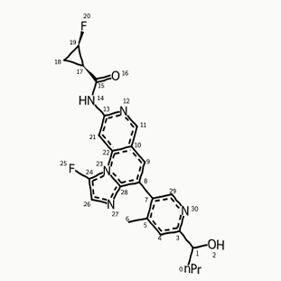 CCCC(O)c1cc(C)c(-c2cc3cnc(NC(=O)[C@H]4C[C@H]4F)cc3n3c(F)cnc23)cn1